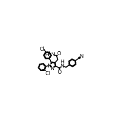 N#Cc1ccc(CNC(=O)c2nn(-c3ccccc3Cl)c(-c3ccc(Cl)cc3)c2CC(N)=O)cc1